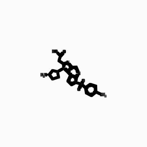 Cc1ccc(S(=O)(=O)n2ccc3c2ncc2nc(CC(=O)O)n(N4CC[C@H](N)C4)c23)cc1